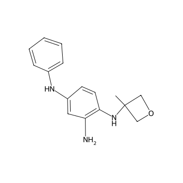 CC1(Nc2ccc(Nc3ccccc3)cc2N)COC1